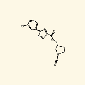 N#CN1CCC(CNC(=O)c2cnn(-c3cccc(Cl)c3)n2)C1